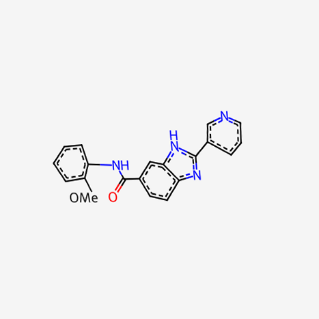 COc1ccccc1NC(=O)c1ccc2nc(-c3cccnc3)[nH]c2c1